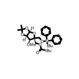 CO[C@H]1[C@H]2OC(C)(C)O[C@H]2O[C@]1(COC(=O)C(C)(C)C)CO[Si](c1ccccc1)(c1ccccc1)C(C)(C)C